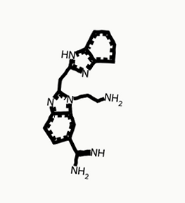 N=C(N)c1ccc2nc(Cc3nc4ccccc4[nH]3)n(CCN)c2c1